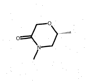 C[C@@H]1CN(C)C(=O)CO1